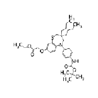 CCCCC1(CCCC)CSc2cc(OCC(=O)OCC)ccc2N(c2ccc(NC(=O)OC(C)(C)C)cc2)C1